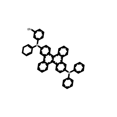 CC(C)(C)c1cccc(N(C2=CCCC=C2)c2ccc3c(c2)c2ccccc2c2c4ccc(N(c5ccccc5)c5ccccc5)cc4c4ccccc4c32)c1